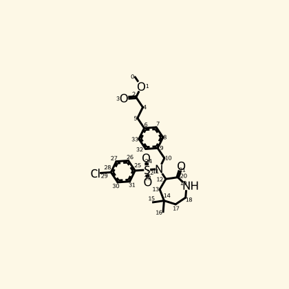 COC(=O)CCc1ccc(CN(C2CC(C)(C)CCNC2=O)S(=O)(=O)c2ccc(Cl)cc2)cc1